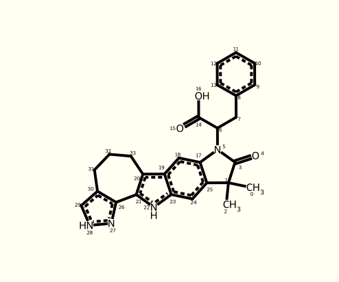 CC1(C)C(=O)N(C(Cc2ccccc2)C(=O)O)c2cc3c4c([nH]c3cc21)-c1n[nH]cc1CCC4